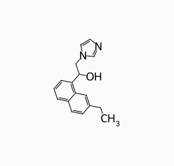 CCc1ccc2cccc(C(O)Cn3ccnc3)c2c1